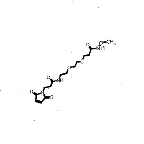 CONC(=O)CCOCCOCCNC(=O)CCN1C(=O)C=CC1=O